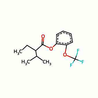 CCC(C(=O)Oc1ccccc1OC(F)(F)F)C(C)C